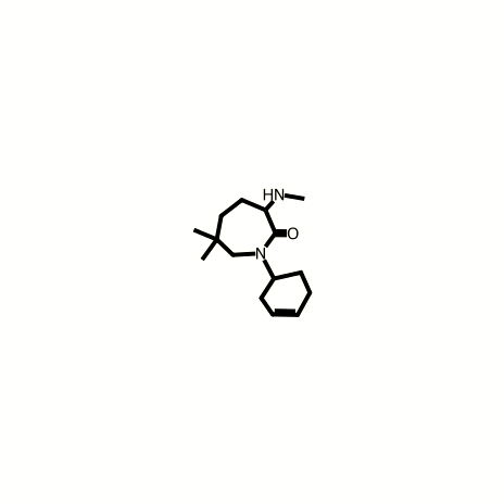 CNC1CCC(C)(C)CN(C2CC=CCC2)C1=O